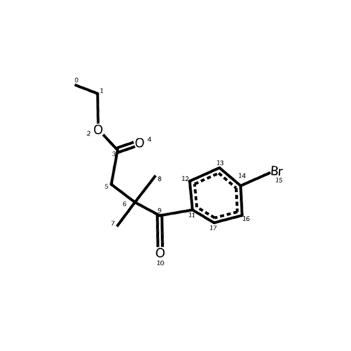 CCOC(=O)CC(C)(C)C(=O)c1ccc(Br)cc1